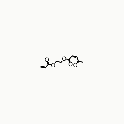 C=CC(=O)OCCOC(=O)/C=C\C(C)=O